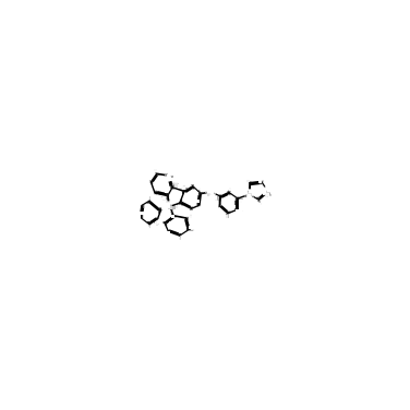 c1ccc([Si]2(c3ccccc3)c3ccc(Oc4cccc(-n5ccnc5)c4)cc3-c3ncccc32)cc1